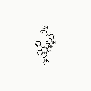 CCN(CC)C(=O)CN1C(=O)N(NC(=O)Nc2cccc(SCC(=O)O)c2)C=C(c2ccccc2)c2ccccc21